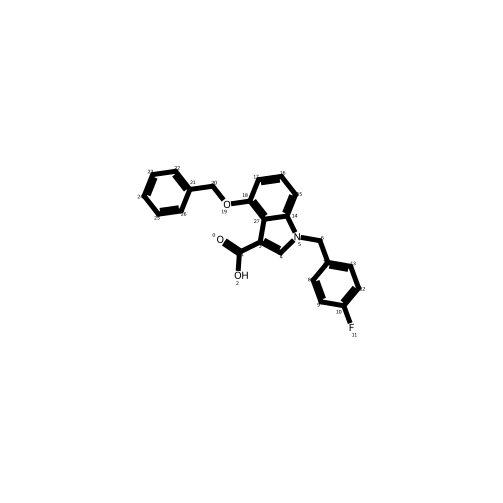 O=C(O)c1cn(Cc2ccc(F)cc2)c2cccc(OCc3ccccc3)c12